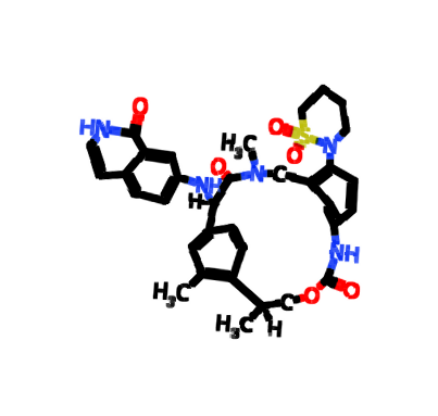 Cc1cc2ccc1[C@@H](C)COC(=O)Nc1ccc(N3CCCCS3(=O)=O)c(c1)CN(C)C(=O)[C@@H]2Nc1ccc2cc[nH]c(=O)c2c1